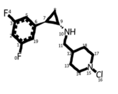 Fc1cc(F)cc([C@H]2C[C@@H]2NCC2CCN(Cl)CC2)c1